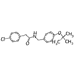 CC(C)(C)Oc1ccc(CNC(=O)Cc2ccc(Cl)cc2)cc1